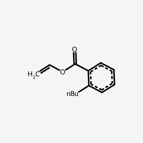 C=COC(=O)c1ccccc1CCCC